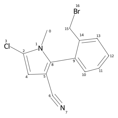 Cn1c(Cl)cc(C#N)c1-c1ccccc1CBr